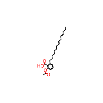 CCCC=CCC=CCCCCCCCc1cccc(OC(C)=O)c1C(=O)O